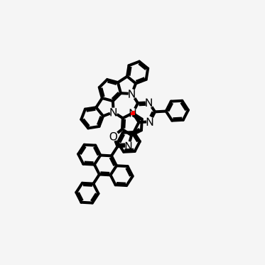 c1ccc(-c2nc(-c3ccccc3)nc(-n3c4ccccc4c4ccc5c6ccccc6n(-c6cccc7nc(-c8c9ccccc9c(-c9ccccc9)c9ccccc89)oc67)c5c43)n2)cc1